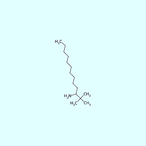 CCCCCCCCCCC(N)C(C)(C)C